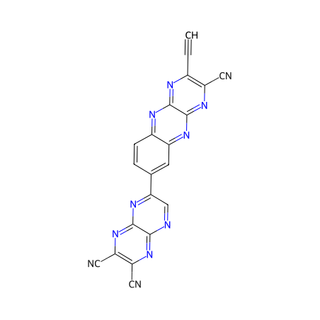 C#Cc1nc2nc3ccc(-c4cnc5nc(C#N)c(C#N)nc5n4)cc3nc2nc1C#N